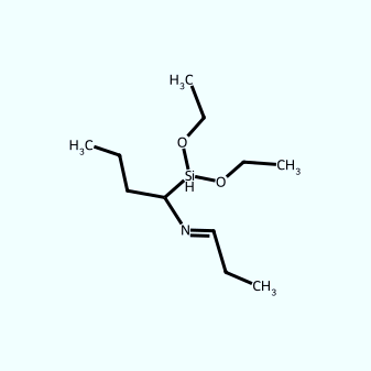 CCC=NC(CCC)[SiH](OCC)OCC